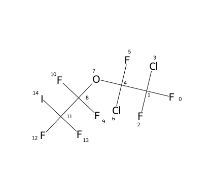 FC(F)(Cl)C(F)(Cl)OC(F)(F)C(F)(F)I